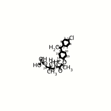 C=C(c1ccc(Cl)cc1)c1ccc(OC(C)(C)C(=O)NCC(C)(C)CON(O)O)cc1